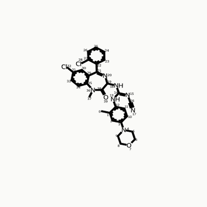 Cc1cc(N2CCOCC2)ccc1N/C(=N\C#N)NC1N=C(c2ccccc2Cl)c2cc(Cl)ccc2N(C)C1=O